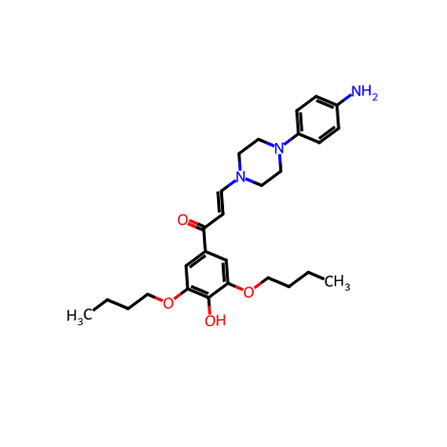 CCCCOc1cc(C(=O)C=CN2CCN(c3ccc(N)cc3)CC2)cc(OCCCC)c1O